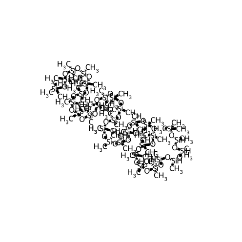 C[SiH](O[SiH](C)O[SiH](C)O[Si](C)(C)O[Si](C)(C)O[Si](C)(C)O[Si](C)(C)O[Si](C)(C)O[Si](C)(C)O[Si](C)(C)O[Si](C)(C)O[Si](C)(C)O[Si](C)(C)O[Si](C)(C)O[Si](C)(C)O[Si](C)(C)O[Si](C)(C)O[Si](C)(C)O[Si](C)(C)O[Si](C)(C)O[Si](C)(C)O[Si](C)(C)O[Si](C)(C)O[Si](C)(C)O[Si](C)(C)O[Si](C)(C)O[Si](C)(C)O[Si](C)(C)C)O[SiH](C)O[Si](C)(C)C